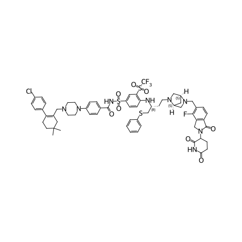 CC1(C)CCC(c2ccc(Cl)cc2)=C(CN2CCN(c3ccc(C(=O)NS(=O)(=O)c4ccc(N[C@H](CCN5C[C@@H]6C[C@H]5CN6Cc5ccc6c(c5F)CN(C5CCC(=O)NC5=O)C6=O)CSc5ccccc5)c(S(=O)(=O)C(F)(F)F)c4)cc3)CC2)C1